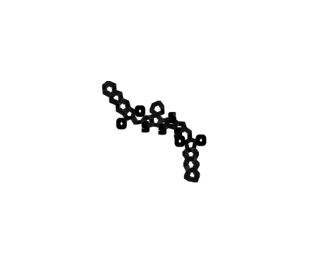 O=C1C(=Cc2cc3c(s2)-c2sc4c(sc5cc(C=C6C(=O)c7cc8cc9ccccc9cc8cc7C6=O)sc54)c2C32CCCCC2)C(=O)c2cc3cc4ccccc4cc3cc21